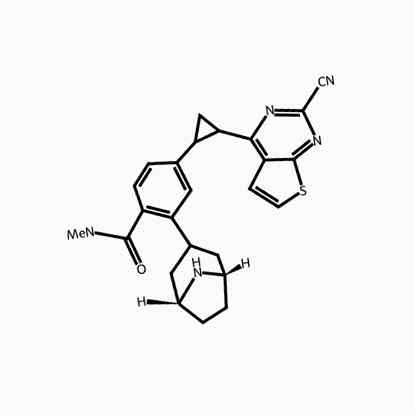 CNC(=O)c1ccc(C2CC2c2nc(C#N)nc3sccc23)cc1C1C[C@H]2CC[C@@H](C1)N2